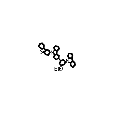 CCOc1cc(-c2ccc3c(c2)c2ccccc2n3-c2ccc3sc4ccccc4c3c2)cc(-n2c3ccccc3c3ccccc32)c1